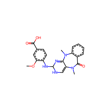 COc1cc(C(=O)O)ccc1NC1N=C2C(=CN1)N(C)C(=O)c1ccccc1N2C